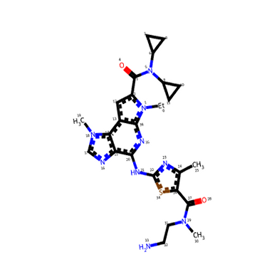 CCn1c(C(=O)N(C2CC2)C2CC2)cc2c3c(ncn3C)c(Nc3nc(C)c(C(=O)N(C)CCN)s3)nc21